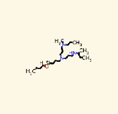 CCCCO[SiH2]CCCN(CCCNC(C)CC)CCCN(C)CCC